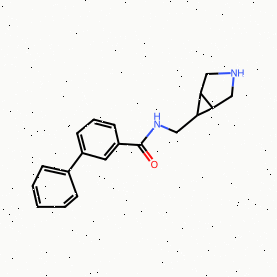 O=C(NCC1C2CNCC21)c1cccc(-c2ccccc2)c1